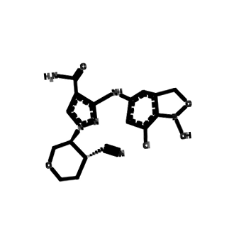 N#C[C@@H]1CCOC[C@H]1n1cc(C(N)=O)c(Nc2cc(Cl)c3c(c2)COB3O)n1